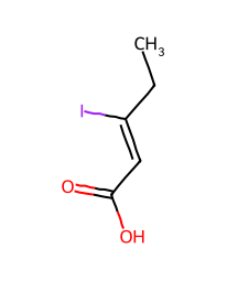 CC/C(I)=C/C(=O)O